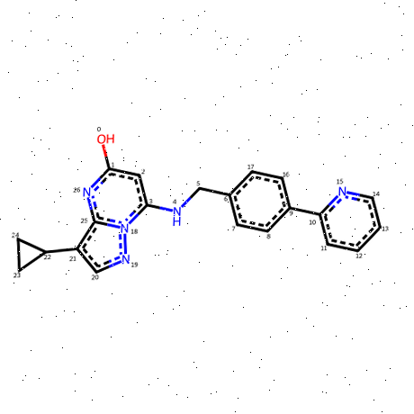 Oc1cc(NCc2ccc(-c3ccccn3)cc2)n2ncc(C3CC3)c2n1